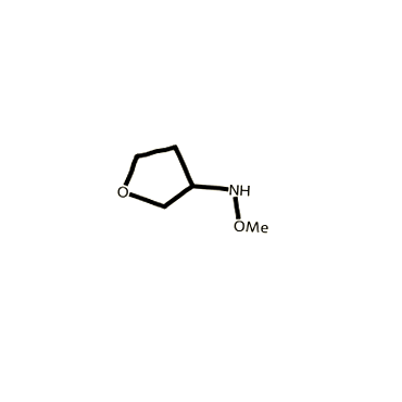 CONC1CCOC1